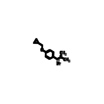 CC(C)[C@H](c1ccc(OCC2CC2)cc1)N(C)C